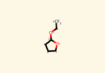 FC(F)(F)COC1CCCO1